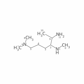 CNC(CCCN(C)C)C(C)N